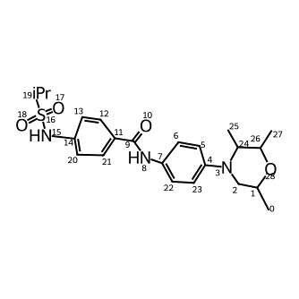 CC1CN(c2ccc(NC(=O)c3ccc(NS(=O)(=O)C(C)C)cc3)cc2)C(C)C(C)O1